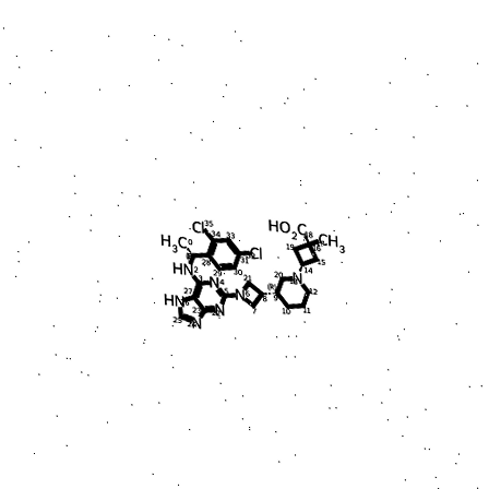 C[C@@H](Nc1nc(N2CC([C@H]3CCCN([C@H]4C[C@](C)(C(=O)O)C4)C3)C2)nc2nc[nH]c12)c1ccc(Cl)cc1Cl